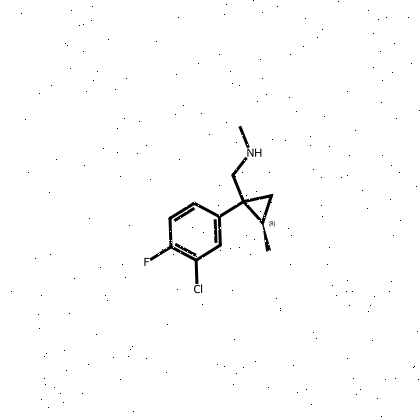 CNCC1(c2ccc(F)c(Cl)c2)C[C@H]1C